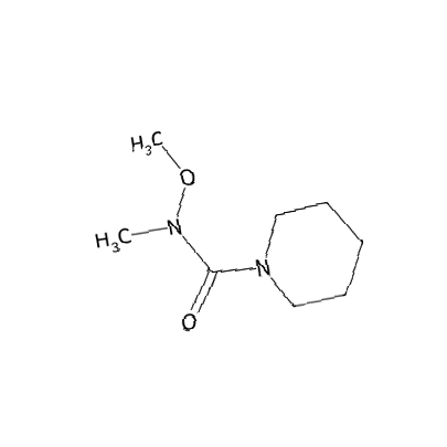 CON(C)C(=O)N1CCCCC1